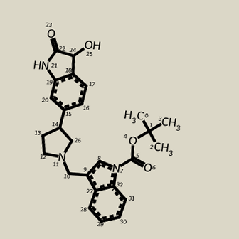 CC(C)(C)OC(=O)n1cc(CN2CCC(c3ccc4c(c3)NC(=O)C4O)C2)c2ccccc21